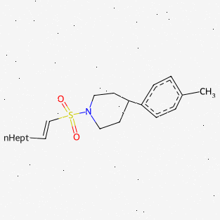 CCCCCCCC=CS(=O)(=O)N1CCC(c2ccc(C)cc2)CC1